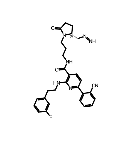 N#Cc1ccccc1-c1ccc(C(=O)NCCCN2C(=O)CC[C@@H]2CN=N)c(NCCc2cccc(F)c2)n1